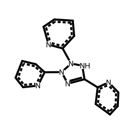 c1ccc(C2=NN(c3ccccn3)N(c3ccccn3)N2)nc1